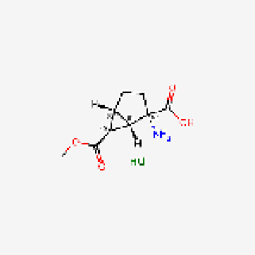 COC(=O)[C@H]1[C@@H]2CC[C@@](N)(C(=O)O)[C@@H]21.Cl